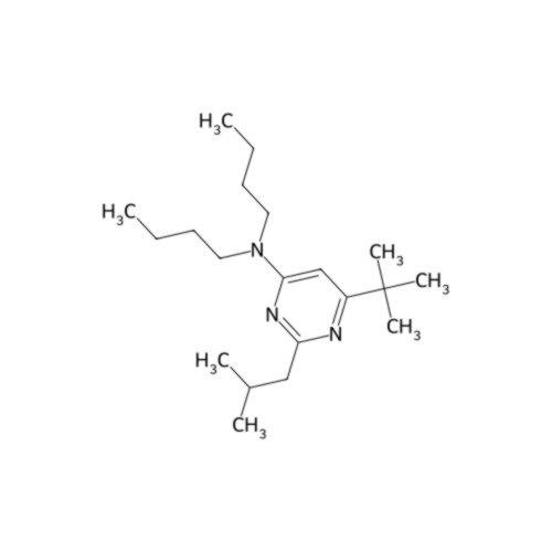 CCCCN(CCCC)c1cc(C(C)(C)C)nc(CC(C)C)n1